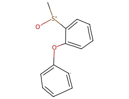 C[S+]([O-])c1ccccc1Oc1[c]cccc1